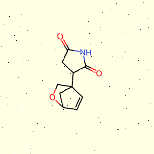 O=C1CC(C23C=CC(C2)OC3)C(=O)N1